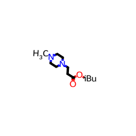 CCC(C)OC(=O)CCN1CCN(C)CC1